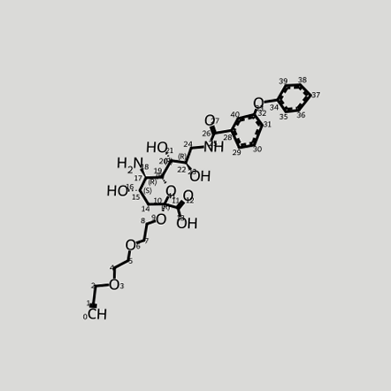 C#CCOCCOCCO[C@]1(C(=O)O)C[C@H](O)[C@@H](N)[C@H]([C@H](O)[C@H](O)CNC(=O)c2cccc(Oc3ccccc3)c2)O1